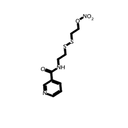 O=C(NCCSSCCO[N+](=O)[O-])c1cccnc1